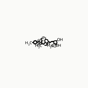 C=C1/C(=C\C=C2/CCC[C@]3(C)[C@@H]([C@H](C)C(CCC(C)C)S(=O)(=O)c4ccc(C)cc4)CC[C@@H]23)C[C@@H](O)CC1(O)O